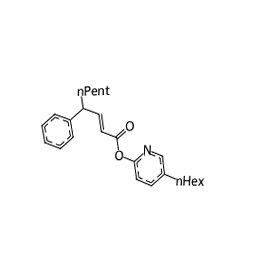 CCCCCCc1ccc(OC(=O)C=CC(CCCCC)c2ccccc2)nc1